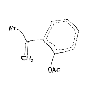 C=C(c1ccccc1OC(C)=O)C(C)C